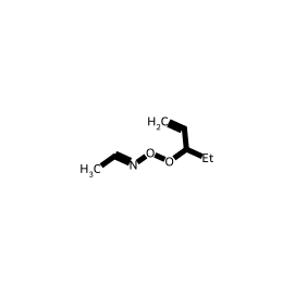 C=CC(CC)OON=CC